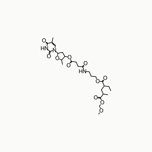 CCC(CC(C)C(=O)OCOC)C(=O)OCCCNC(=O)CCC(=O)OC1CC(n2cc(C)c(=O)[nH]c2=O)OC1C